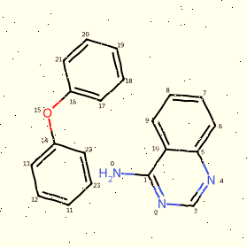 Nc1ncnc2ccccc12.c1ccc(Oc2ccccc2)cc1